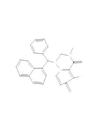 CC(C)N1CN(C(c2ccccc2)c2cccc3ccccc23)n2ccc(=O)c(O)c2C1=O